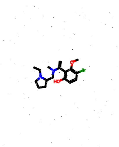 C=C(c1c(O)ccc(Br)c1OC)N(C)CC1CCCN1CC